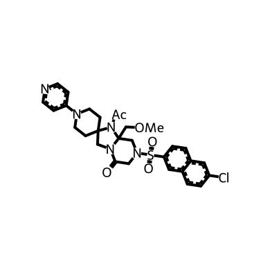 COCC12CN(S(=O)(=O)c3ccc4cc(Cl)ccc4c3)CC(=O)N1CC1(CCN(c3ccncc3)CC1)N2C(C)=O